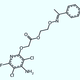 C/C(=N\OCCOC(=O)COc1nc(F)c(Cl)c(N)c1Cl)c1ccccc1